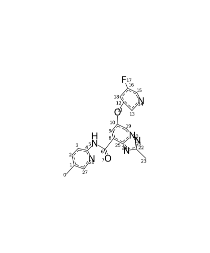 Cc1ccc(NC(=O)c2cc(Oc3cncc(F)c3)cn3nc(C)nc23)nc1